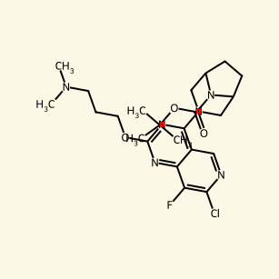 CN(C)CCCOc1nc(N2CC3CCC(C2)N3C(=O)OC(C)(C)C)c2cnc(Cl)c(F)c2n1